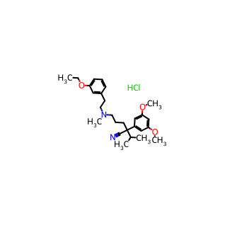 CCOc1cccc(CCN(C)CCCC(C#N)(c2cc(OC)cc(OC)c2)C(C)C)c1.Cl